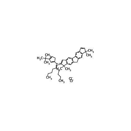 CCCC[C](CCCC)=[Zr+2]([C]1=CC(C(C)(C)C)=CC1)[C]1=Cc2cc3c(cc2C1(C)C)Cc1cc2c(cc1-3)C=CC2(C)C.[Cl-].[Cl-]